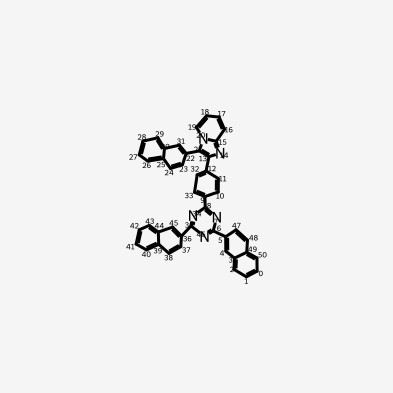 c1ccc2cc(-c3nc(-c4ccc(-c5nc6ccccn6c5-c5ccc6ccccc6c5)cc4)nc(-c4ccc5ccccc5c4)n3)ccc2c1